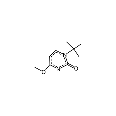 COc1ccn(C(C)(C)C)c(=O)n1